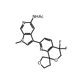 CC(=O)Nc1cc2c(-c3ccc4c(n3)C3(CCOC3)OCC4(F)F)cn(C)c2cn1